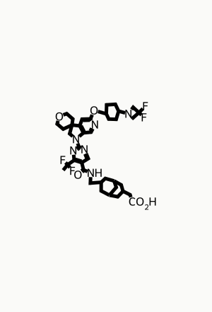 CC(F)(F)c1nc(N2CC3(CCOCC3)c3cc(OC4CCC(N5CC(F)(F)C5)CC4)ncc32)ncc1C(=O)NCC1CC2CC(CC(=O)O)CC(C1)C2